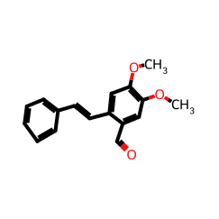 COc1cc(C=O)c(C=Cc2ccccc2)cc1OC